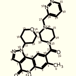 Cc1cc2[nH]c(=O)c3cnn(C4CCOCC4)c3c2cc1C(=O)N1CCN(Cc2cccnn2)CC1